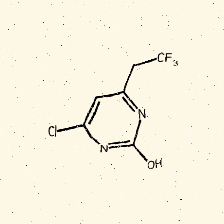 Oc1nc(Cl)cc(CC(F)(F)F)n1